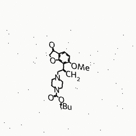 C=C(CN1CCN(C(=O)OC(C)(C)C)CC1)c1c(OC)ccc2c1OCC2=O